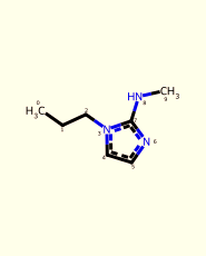 CCCn1ccnc1NC